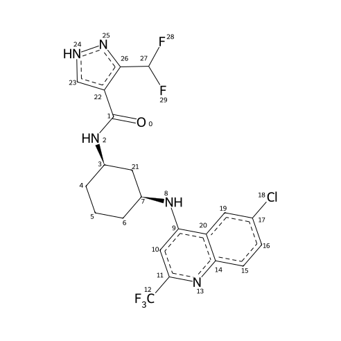 O=C(N[C@@H]1CCC[C@H](Nc2cc(C(F)(F)F)nc3ccc(Cl)cc23)C1)c1c[nH]nc1C(F)F